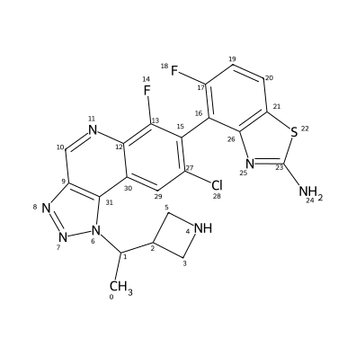 CC(C1CNC1)n1nnc2cnc3c(F)c(-c4c(F)ccc5sc(N)nc45)c(Cl)cc3c21